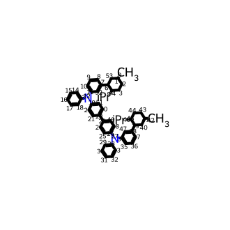 CC1CCC(C(C)C)C(c2cccc(N(c3ccccc3)c3ccc(-c4ccc(N(c5ccccc5)c5cccc(C6CC(C)CCC6C(C)C)c5)cc4)cc3)c2)C1